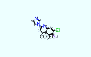 CCOC(=O)c1cc(-n2ccnc2)nc2cc(Cl)c(I)cc12